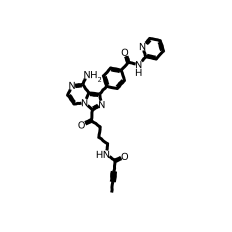 CC#CC(=O)NCCCC(=O)c1nc(-c2ccc(C(=O)Nc3ccccn3)cc2)c2c(N)nccn12